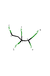 FCC(F)(F)C(F)F